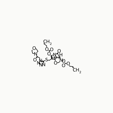 C=CCOC(=O)OC1=C(CSc2nnnn2CC(=O)N2CCOCC2)C2OCN(OC(=O)OCC=C)[C@@H]3C(=O)N1[C@H]23